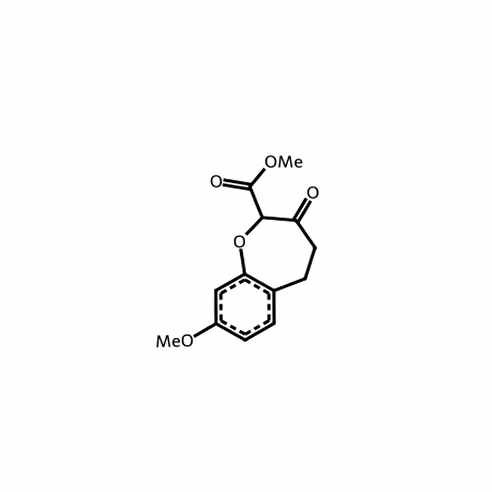 COC(=O)C1Oc2cc(OC)ccc2CCC1=O